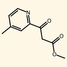 COC(=O)CC(=O)c1cc(C)ccn1